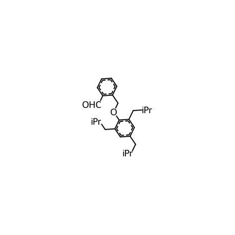 CC(C)Cc1cc(CC(C)C)c(OCc2ccccc2C=O)c(CC(C)C)c1